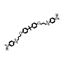 C[SiH](C)c1ccc([Si](C)(C)CCCOc2ccc(C(C)(C)c3ccc(OCCC[Si](C)(C)c4ccc([SiH](C)C)cc4)cc3)cc2)cc1